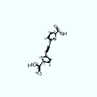 O=C(O)c1ccc(C#Cc2ccc(C(=O)O)s2)s1